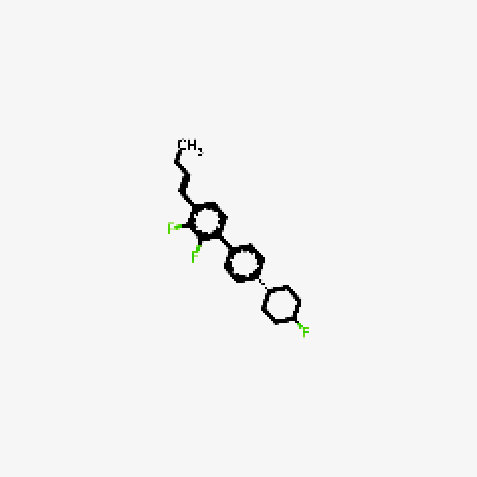 CCC=Cc1ccc(-c2ccc([C@H]3CC[C@H](F)CC3)cc2)c(F)c1F